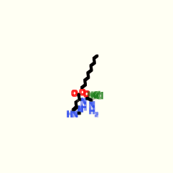 CCCCCCCCCCOC(=O)[C@H](Cc1c[nH]cn1)NC(=O)[C@H](C)N.Cl.Cl